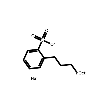 CCCCCCCCCCCc1ccccc1S(=O)(=O)[O-].[Na+]